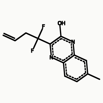 C=CCC(F)(F)c1nc2ccc(C)cc2nc1O